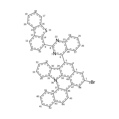 Brc1cc2cc(-c3nc(-c4cccc5c4sc4ccccc45)nc4ccccc34)c3c4ccccc4n4c5c6ccccc6ccc5c(c1)c2c34